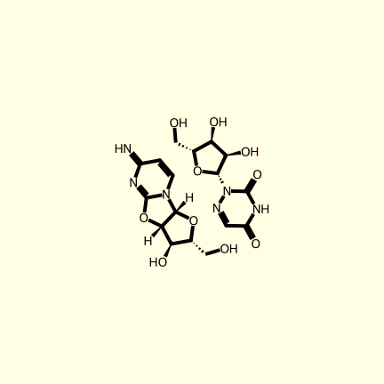 N=c1ccn2c(n1)O[C@H]1[C@H](O)[C@@H](CO)O[C@H]12.O=c1cnn([C@@H]2O[C@H](CO)[C@@H](O)[C@H]2O)c(=O)[nH]1